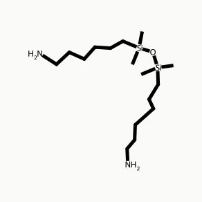 C[Si](C)(CCCCCCN)O[Si](C)(C)CCCCCCN